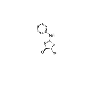 CC(C)C1SC(Nc2ccccc2)=NC1=O